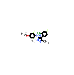 COc1cc(F)c(Nc2c(-c3ccc(F)cc3Cl)c(C)nn2C)c(F)c1